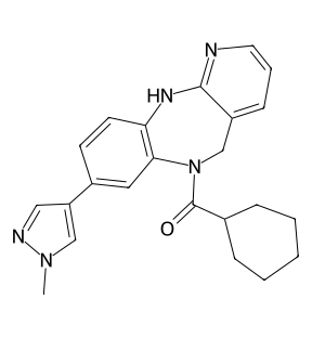 Cn1cc(-c2ccc3c(c2)N(C(=O)C2CCCCC2)Cc2cccnc2N3)cn1